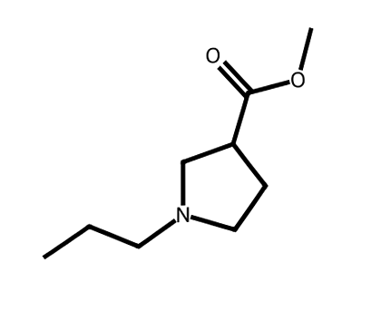 CCCN1CCC(C(=O)OC)C1